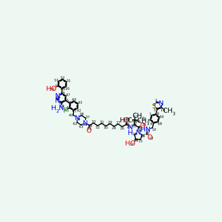 Cc1ncsc1-c1ccc(CNC(=O)[C@@H]2C[C@@H](O)CN2C(=O)[C@@H](NC(=O)CCCCCCCCC(=O)N2CCN(Cc3cccc(-c4cc(-c5ccccc5O)nnc4N)c3F)CC2)C(C)(C)C)cc1